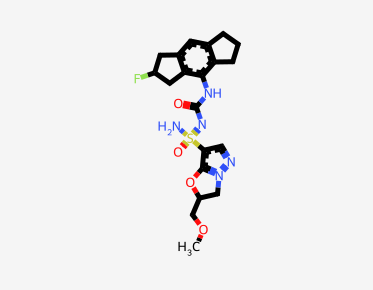 COCC1Cn2ncc(S(N)(=O)=NC(=O)Nc3c4c(cc5c3CC(F)C5)CCC4)c2O1